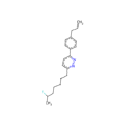 C=CCc1ccc(-c2ccc(CCCCCC(C)F)nn2)cc1